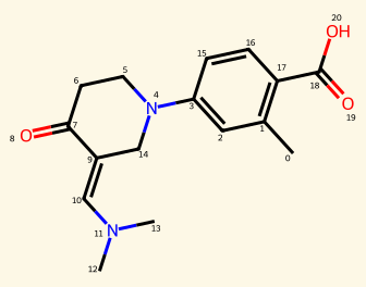 Cc1cc(N2CCC(=O)C(=CN(C)C)C2)ccc1C(=O)O